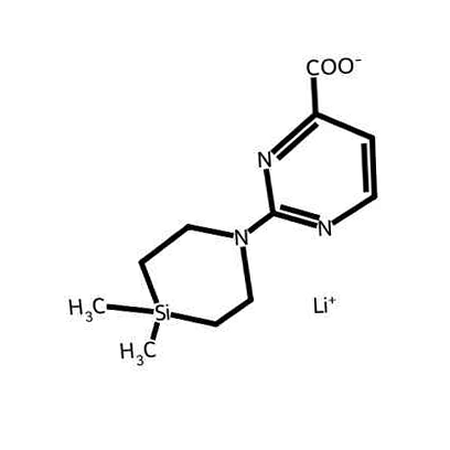 C[Si]1(C)CCN(c2nccc(C(=O)[O-])n2)CC1.[Li+]